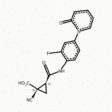 N#C[C@]1(C(=O)O)C[C@@H]1C(=O)Nc1ccc(-n2ccccc2=O)cc1F